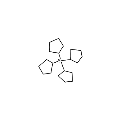 C1CCC([Si](C2CCCC2)(C2CCCC2)C2CCCC2)C1